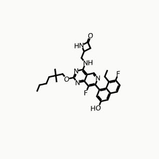 CCCCC(C)(C)COc1nc(NCC2CC(=O)N2)c2cnc(-c3cc(O)cc4ccc(F)c(CC)c34)c(F)c2n1